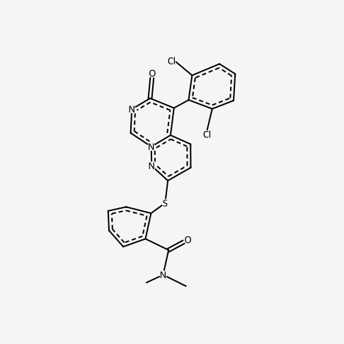 CN(C)C(=O)c1ccccc1Sc1ccc2c(-c3c(Cl)cccc3Cl)c(=O)ncn2n1